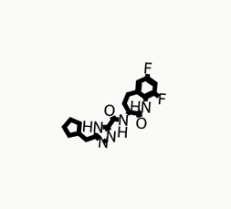 O=C(NC1CCc2cc(F)cc(F)c2NC1=O)c1nnc(CC2CCCC2)[nH]1